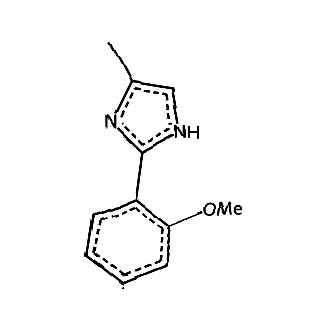 COc1c[c]ccc1-c1nc(C)c[nH]1